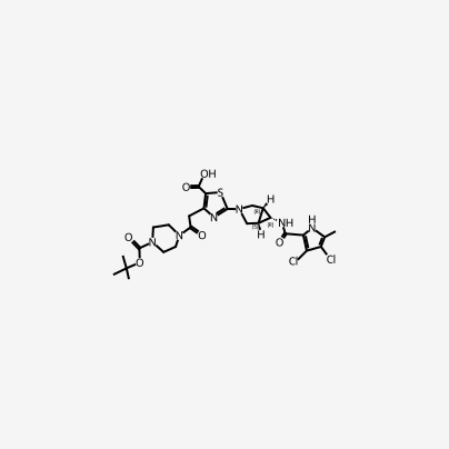 Cc1[nH]c(C(=O)N[C@@H]2[C@@H]3CN(c4nc(CC(=O)N5CCN(C(=O)OC(C)(C)C)CC5)c(C(=O)O)s4)C[C@@H]32)c(Cl)c1Cl